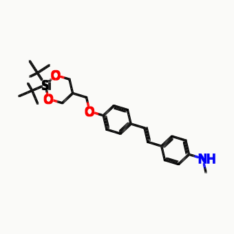 CNc1ccc(C=Cc2ccc(OCC3CO[Si](C(C)(C)C)(C(C)(C)C)OC3)cc2)cc1